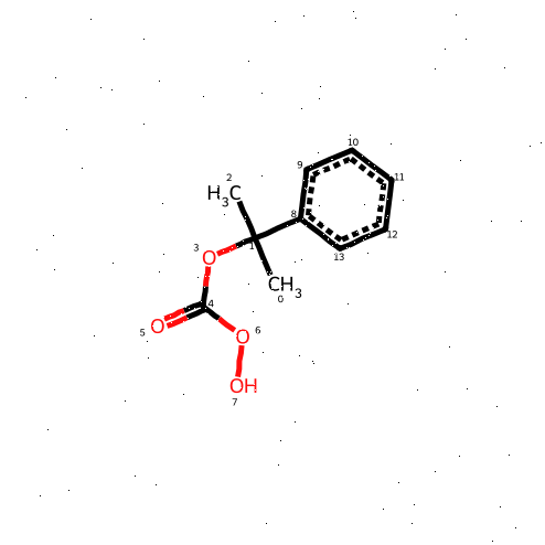 CC(C)(OC(=O)OO)c1ccccc1